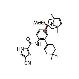 COC(=O)N1C2(C)C=CC1(C)CC(O)(c1ccc(NC(=O)c3nc(C#N)c[nH]3)c(C3=CCC(C)(C)CC3)c1)C2